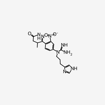 CC1CC(=O)NN=C1c1ccc(N(CCCc2c[nH]cn2)C(=N)N)cc1[N+](=O)[O-]